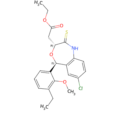 CCOC(=O)C[C@H]1O[C@H](c2cccc(CC)c2OC)c2cc(Cl)ccc2NC1=S